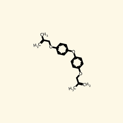 C=C(C)COc1ccc(Oc2ccc(OCC(=C)C)cc2)cc1